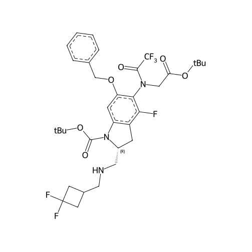 CC(C)(C)OC(=O)CN(C(=O)C(F)(F)F)c1c(OCc2ccccc2)cc2c(c1F)C[C@H](CNCC1CC(F)(F)C1)N2C(=O)OC(C)(C)C